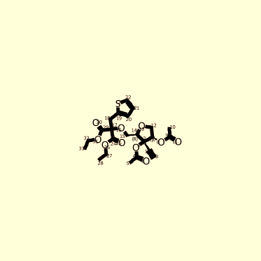 C#C[C@]1(OC(C)=O)[C@@H](OC(C)=O)CO[C@@H]1COC(Cc1cccs1)(C(=O)OCC)C(=O)OCC